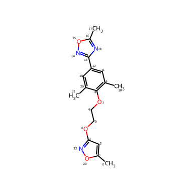 Cc1cc(OCCOc2c(C)cc(-c3noc(C)n3)cc2C)no1